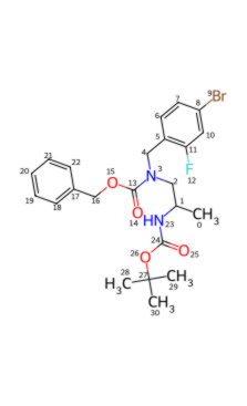 CC(CN(Cc1ccc(Br)cc1F)C(=O)OCc1ccccc1)NC(=O)OC(C)(C)C